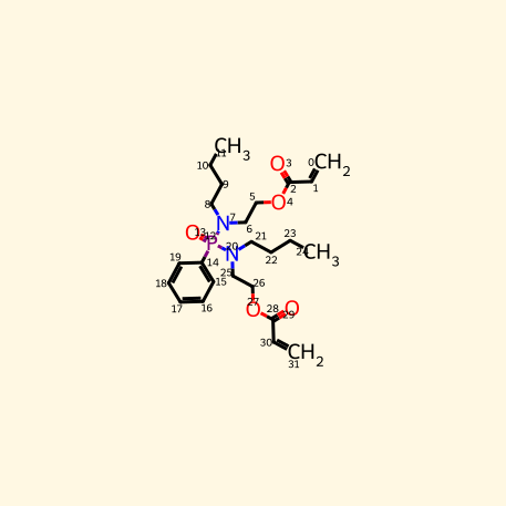 C=CC(=O)OCCN(CCCC)P(=O)(c1ccccc1)N(CCCC)CCOC(=O)C=C